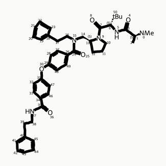 CN[C@@H](C)C(=O)N[C@H](C(=O)N1CCC[C@H]1CN(CCc1ccccc1)C(=O)c1ccc(Oc2ccc(C(=O)NCCc3ccccc3)cc2)cc1)C(C)(C)C